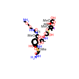 CCN(CC(=O)NCCOCCOCCN)[C@H]1CO[C@@H](O[C@H]2[C@H](O[C@H]3C#CC=CC#C[C@]4(O)CC(=O)C(NC(=O)OC)=C3/C4=C\CSSC(C)(C)CC(=O)NN)O[C@H](C)[C@@H](NO[C@H]3C[C@H](O)[C@H](SC(=O)c4c(C)c(I)c(O[C@@H]5O[C@@H](C)[C@H](O)[C@@H](OC)[C@H]5O)c(OC)c4OC)[C@@H](C)O3)[C@@H]2O)C[C@@H]1OC